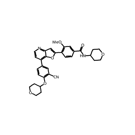 COc1cc(C(=O)NC2CCOCC2)ccc1-c1cc2nccc(-c3ccc(OC4CCOCC4)c(C#N)c3)c2o1